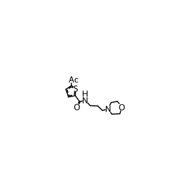 CC(=O)c1ccc(C(=O)NCCCN2CCOCC2)s1